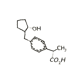 C[C@H](C(=O)O)c1ccc(CC2CCC[C@@H]2O)cc1